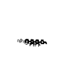 C=Cc1ccc(-c2ccc(-c3ccc(C4CCC(CCC)OC4)c(F)c3F)c(F)c2F)cc1